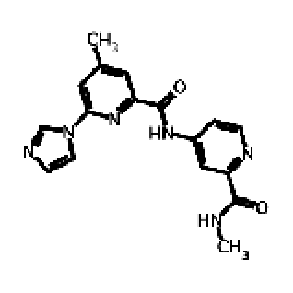 CNC(=O)c1cc(NC(=O)c2cc(C)cc(-n3ccnc3)n2)ccn1